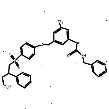 O=C(O)CC(CS(=O)(=O)c1ccc(OCc2cc(NC(=O)NCc3cccnc3)cc(C(F)(F)F)c2)cc1)c1ccccc1